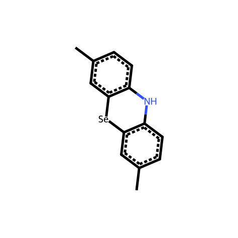 Cc1ccc2c(c1)[Se]c1cc(C)ccc1N2